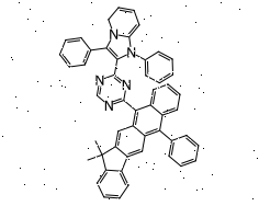 CC1(C)c2ccccc2-c2cc3c(-c4ccccc4)c4ccccc4c(-c4ncnc(C5=C(c6ccccc6)N6CC=CC=C6N5c5ccccc5)n4)c3cc21